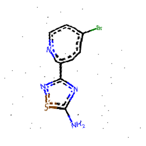 Nc1nc(-c2cc(Br)ccn2)ns1